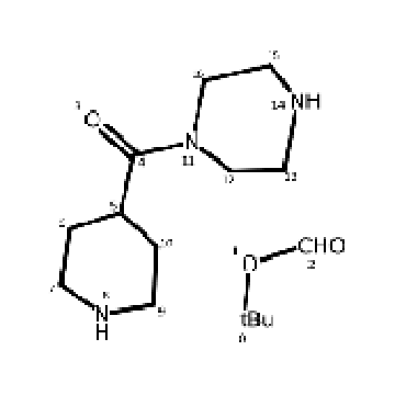 CC(C)(C)OC=O.O=C(C1CCNCC1)N1CCNCC1